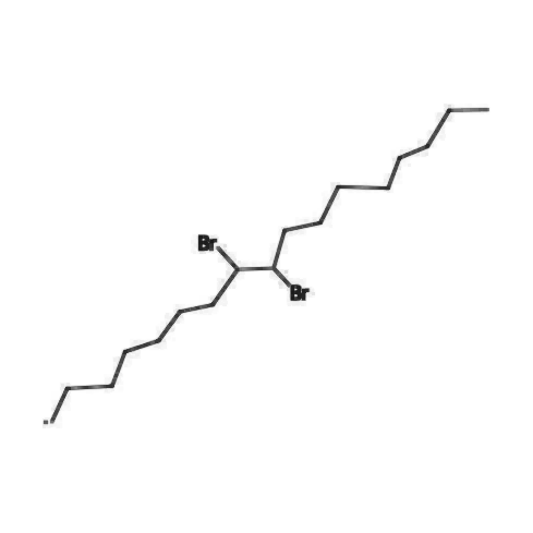 [CH2]CCCCCCC(Br)C(Br)CCCCCCCC